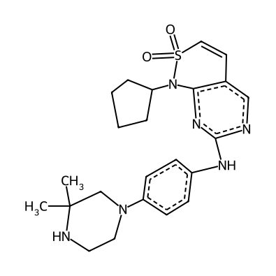 CC1(C)CN(c2ccc(Nc3ncc4c(n3)N(C3CCCC3)S(=O)(=O)C=C4)cc2)CCN1